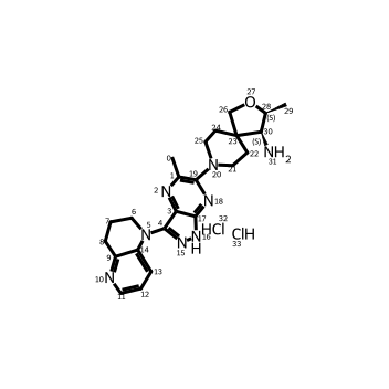 Cc1nc2c(N3CCCc4ncccc43)n[nH]c2nc1N1CCC2(CC1)CO[C@@H](C)[C@H]2N.Cl.Cl